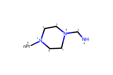 CCCN1CCN(C[NH])CC1